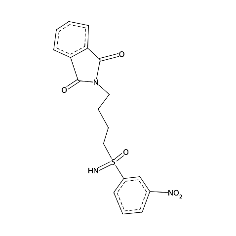 N=S(=O)(CCCCN1C(=O)c2ccccc2C1=O)c1cccc([N+](=O)[O-])c1